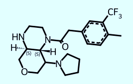 Cc1ccc(CC(=O)N2CCN[C@@H]3COCC(N4CCCC4)[C@H]32)cc1C(F)(F)F